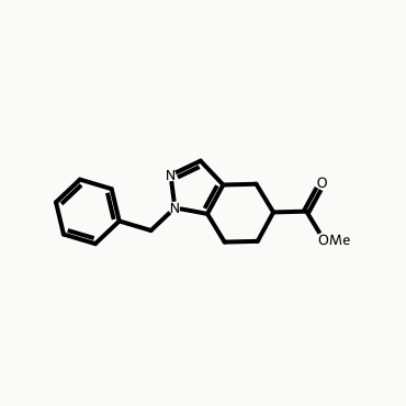 COC(=O)C1CCc2c(cnn2Cc2ccccc2)C1